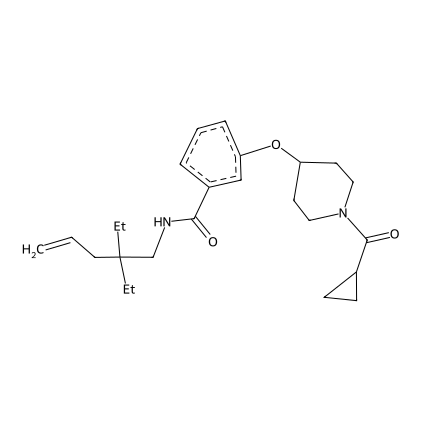 C=CCC(CC)(CC)CNC(=O)c1cccc(OC2CCN(C(=O)C3CC3)CC2)c1